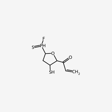 C=CC(=O)C1OC([PH](F)=S)CC1S